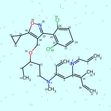 C=C\C=N/C(/C=C(\C=C)N(C)CCC(CC)OCc1c(-c2c(Cl)cccc2Cl)noc1C1CC1)=C(\C)C=C